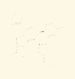 CC(O)[C@]1(F)CC2=C(c3ccn(C(F)F)n3)[C@H](c3ccc(F)cc3Cl)N=C(c3nccs3)N2C1